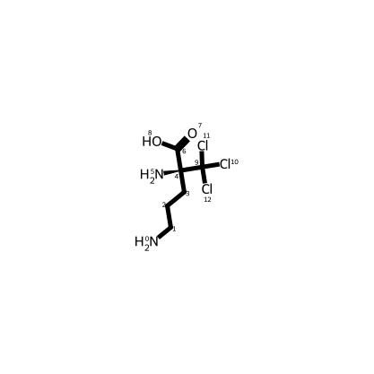 NCCC[C@](N)(C(=O)O)C(Cl)(Cl)Cl